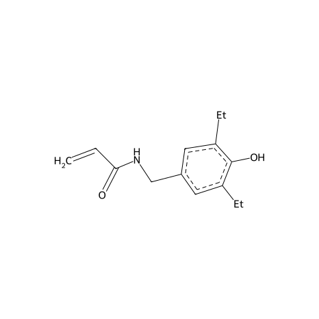 C=CC(=O)NCc1cc(CC)c(O)c(CC)c1